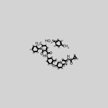 Cc1ccc(C(=O)Nc2ccc(Oc3ccc4nc(NC(=O)C5CC5)cn4c3)c(F)c2)c(=O)n1-c1ccccc1.Cc1ccc(S(=O)(=O)O)cc1